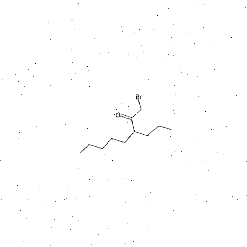 CCCCCC(CCC)C(=O)CBr